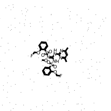 CO[N+](=C(Nc1nc(C)cc(C)n1)NS(=O)(=O)c1ccccc1OCF)S(=O)(=O)c1ccccc1OCF